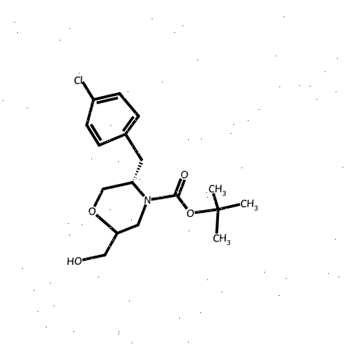 CC(C)(C)OC(=O)N1CC(CO)OC[C@@H]1Cc1ccc(Cl)cc1